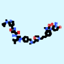 C=C(C)c1nn(C2CCC(CN(C)C[C@@H]3CN(CCCc4ccc5c(c4)n(C)c(=O)n5C4CCC(=O)NC4=O)CCO3)CC2)cc1NC(=O)c1coc(-c2ccnc(N(C)C3CC3)c2)n1